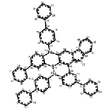 c1ccc(-c2ccc(N3B4c5cc(-c6ccccc6)ccc5N(c5ccc(-c6ccccc6)cc5)c5cc6c(sc7ccccc76)c(c54)-c4cc(-c5ccccc5)ccc43)cc2)cc1